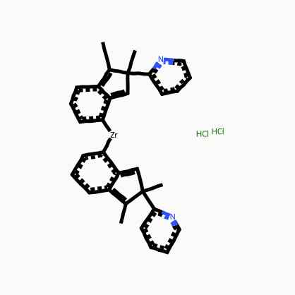 CC1=c2ccc[c]([Zr][c]3cccc4c3=CC(C)(c3ccccn3)C=4C)c2=CC1(C)c1ccccn1.Cl.Cl